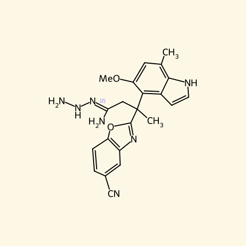 COc1cc(C)c2[nH]ccc2c1C(C)(C/C(N)=N/NN)c1nc2cc(C#N)ccc2o1